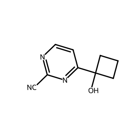 N#Cc1nccc(C2(O)CCC2)n1